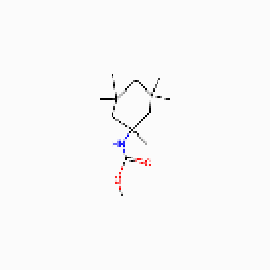 COC(=O)NC1(C)CC(C)(C)CC(C)(C)C1